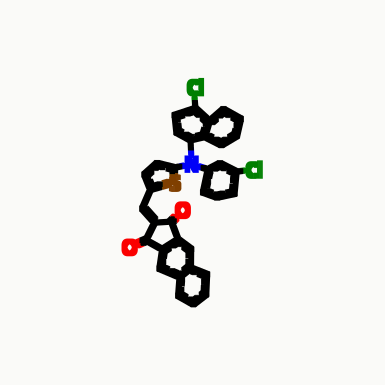 O=C1C(=Cc2ccc(N(c3cccc(Cl)c3)c3ccc(Cl)c4ccccc34)s2)C(=O)c2cc3ccccc3cc21